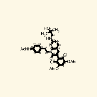 COc1cc(OC)c(Cl)c(-c2cc3cnc(NCC(C)(C)O)nc3n(CCc3ccc(NC(C)=O)cc3)c2=O)c1Cl